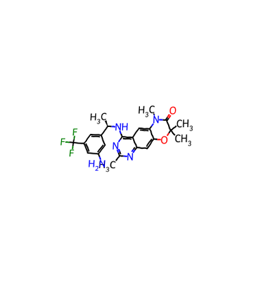 Cc1nc(N[C@H](C)c2cc(N)cc(C(F)(F)F)c2)c2cc3c(cc2n1)OC(C)(C)C(=O)N3C